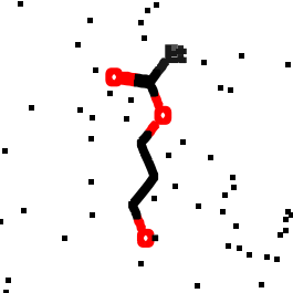 CCC(=O)OCCC[O]